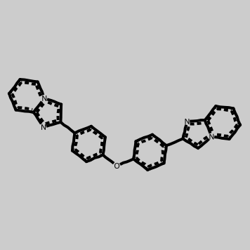 c1ccn2cc(-c3ccc(Oc4ccc(-c5cn6ccccc6n5)cc4)cc3)nc2c1